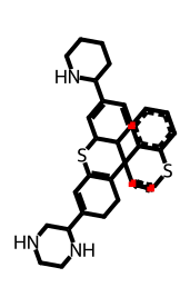 C1=CC2C(C=C1C1CCCCN1)SC1=C(CCC(C3CNCCN3)=C1)C21c2ccccc2Sc2ccccc21